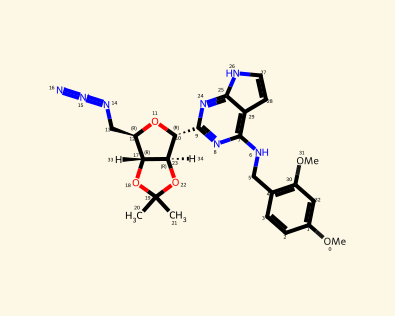 COc1ccc(CNc2nc([C@H]3O[C@H](CN=[N+]=[N-])[C@H]4OC(C)(C)O[C@@H]43)nc3[nH]ccc23)c(OC)c1